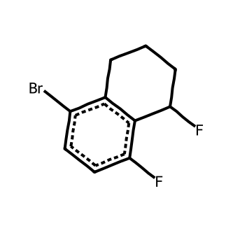 Fc1ccc(Br)c2c1C(F)CCC2